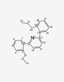 CCCc1ccccc1-c1cccc(-c2ccccc2CCC)n1